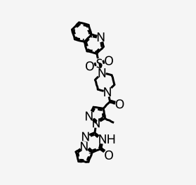 Cc1c(C(=O)N2CCN(S(=O)(=O)c3cnc4ccccc4c3)CC2)cnn1-c1nn2cccc2c(=O)[nH]1